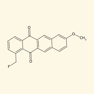 COc1ccc2cc3c(cc2c1)C(=O)c1cccc(CF)c1C3=O